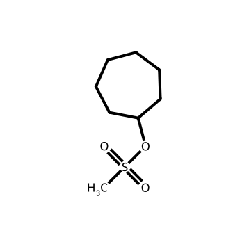 CS(=O)(=O)OC1CCCCCC1